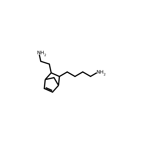 NCCCCC1C2C=CC(C2)C1CCN